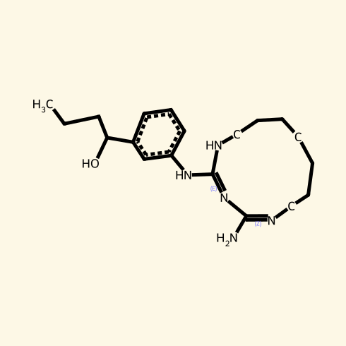 CCCC(O)c1cccc(N/C2=N/C(N)=N\CCCCCCCN2)c1